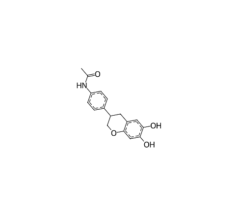 CC(=O)Nc1ccc(C2COc3cc(O)c(O)cc3C2)cc1